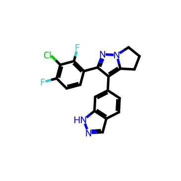 Fc1ccc(-c2nn3c(c2-c2ccc4cn[nH]c4c2)CCC3)c(F)c1Cl